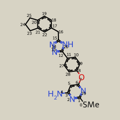 CSc1nc(N)cc(Oc2ccc(-c3nnc(Cc4ccc5c(c4)CCC5)[nH]3)cc2)n1